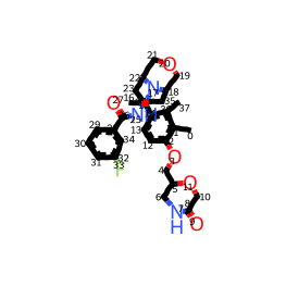 Cc1c(OCC2CNC(=O)CO2)ccc(C(C)N2C3COCC2CC(NC(=O)c2cccc(F)c2)C3)c1C